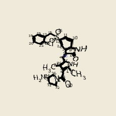 Cc1[nH]c(/C=C2\C(=O)Nc3ccc(S(=O)(=O)Cc4ccccc4Cl)cc32)c(C)c1C(=O)N1CC[C@H](N)C1